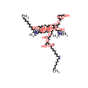 CCCCCCCC/C=C\CCCCCCCC(=O)OCC(CO)OCC(O)COCC(COCC(COCC(O)COCC(O)CO)OC(COCC(O)C[N+](C)(C)C)COCC1COCC(CO)O1)OCC(O)COCC(O)C[N+](C)(C)CCCCCCCCCCCC